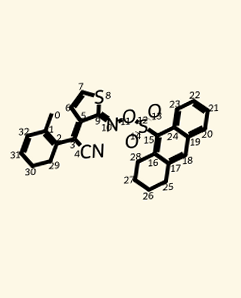 CC1=C(/C(C#N)=C2\C=CS\C2=N/OS(=O)(=O)c2c3c(cc4ccccc24)CCCC3)CCC=C1